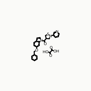 O=C(C1CSN(c2cccnc2)C1)n1ccc2ccc(OCc3ccccc3)cc21.O=C(O)C(=O)O